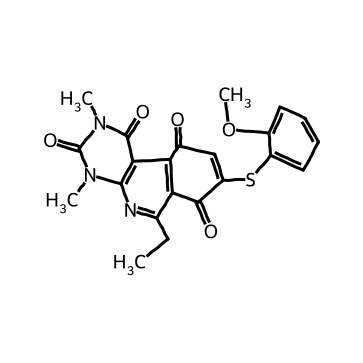 CCc1nc2c(c3c1C(=O)C(Sc1ccccc1OC)=CC3=O)c(=O)n(C)c(=O)n2C